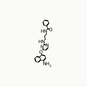 Nc1ccc(Oc2ccnc(NCCCNC(=O)c3ccccc3)n2)c2ccccc12